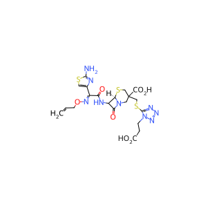 C=CCON=C(C(=O)NC1C(=O)N2CC(CSc3nnnn3CCC(=O)O)(C(=O)O)CS[C@H]12)c1csc(N)n1